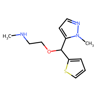 CNCCOC(c1cccs1)c1ccnn1C